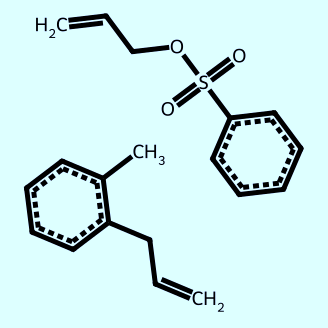 C=CCOS(=O)(=O)c1ccccc1.C=CCc1ccccc1C